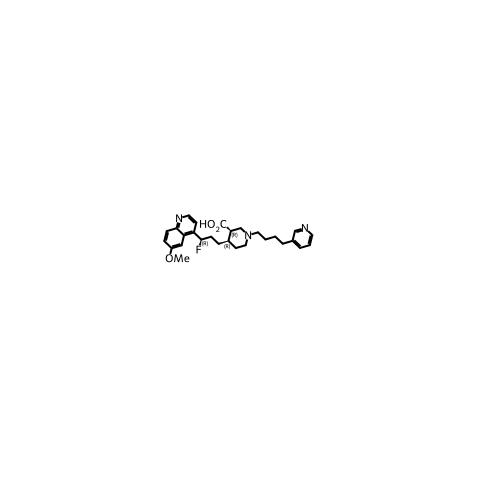 COc1ccc2nccc([C@H](F)CC[C@@H]3CCN(CCCCc4cccnc4)C[C@@H]3C(=O)O)c2c1